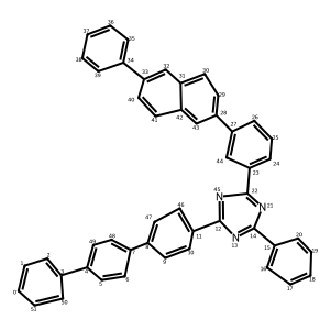 c1ccc(-c2ccc(-c3ccc(-c4nc(-c5ccccc5)nc(-c5cccc(-c6ccc7cc(-c8ccccc8)ccc7c6)c5)n4)cc3)cc2)cc1